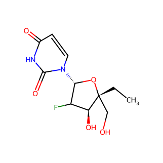 CC[C@]1(CO)O[C@@H](n2ccc(=O)[nH]c2=O)C(F)[C@@H]1O